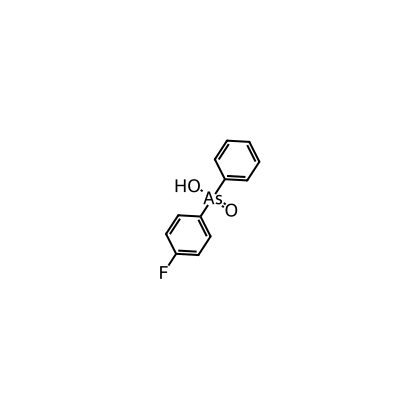 O=[As](O)(c1ccccc1)c1ccc(F)cc1